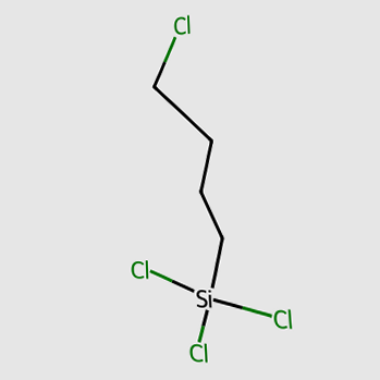 ClCCCC[Si](Cl)(Cl)Cl